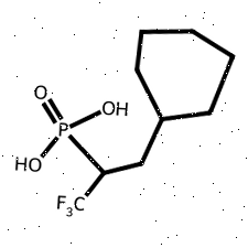 O=P(O)(O)C(CC1CCCCC1)C(F)(F)F